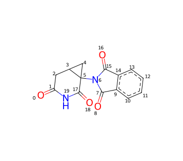 O=C1CC2CC2(N2C(=O)c3ccccc3C2=O)C(=O)N1